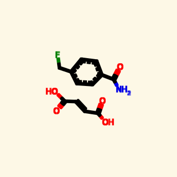 NC(=O)c1ccc(CF)cc1.O=C(O)/C=C/C(=O)O